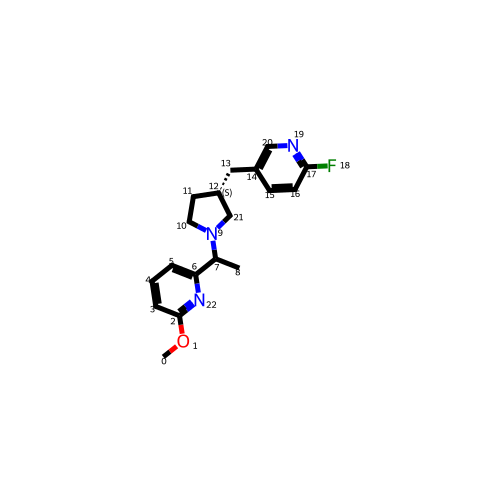 COc1cccc(C(C)N2CC[C@H](Cc3ccc(F)nc3)C2)n1